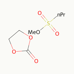 CCCS(=O)(=O)OC.O=C1OCCO1